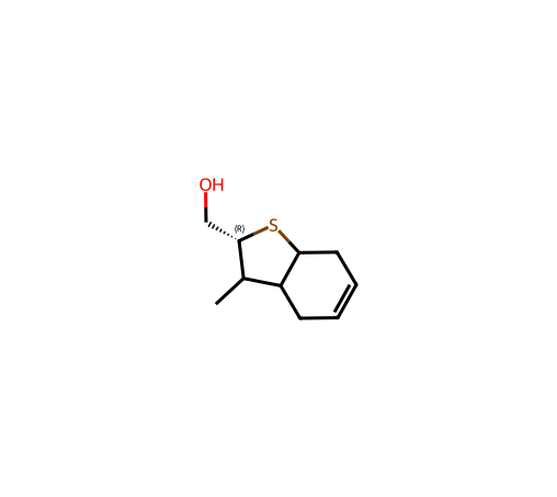 CC1C2CC=CCC2S[C@H]1CO